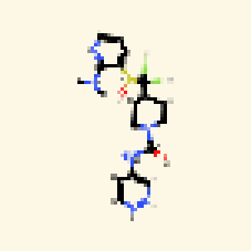 CN(C)c1ncccc1[S+]([O-])C(F)(F)C1CCN(C(=O)Nc2ccnnc2)CC1